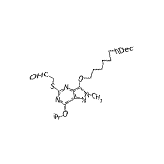 CCCCCCCCCCCCCCCCOc1c2nc(SCC=O)nc(OC(C)C)c2nn1C